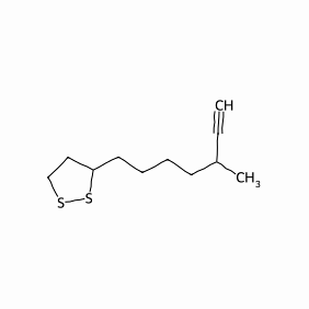 C#CC(C)CCCCC1CCSS1